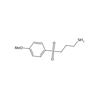 COc1ccc(S(=O)(=O)CCC[SiH3])cc1